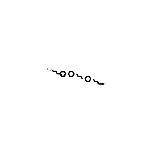 CCCCc1ccc([C@H]2CC[C@H](CCCC[C@H]3CC[C@H](CCC=CC#N)CC3)CC2)cc1